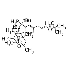 CC1C2(C)OC3(C)CC(C)(O2)C(P)(c2ccc(CC=CO[Si](C)(C)C)cc2C(P)(C(C)(C)C)C(C)(C)C)C1(C)O3